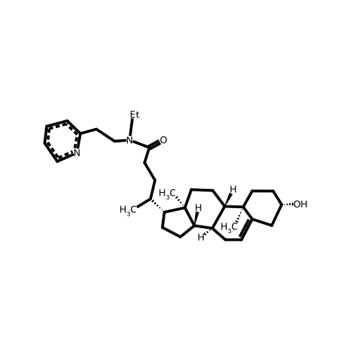 CCN(CCc1ccccn1)C(=O)CCC(C)[C@H]1CC[C@H]2[C@@H]3CC=C4C[C@@H](O)CC[C@]4(C)[C@H]3CC[C@]12C